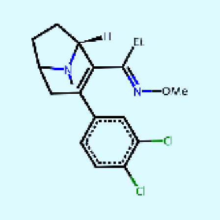 CCC(=NOC)C1=C(c2ccc(Cl)c(Cl)c2)CC2CC[C@H]1N2C